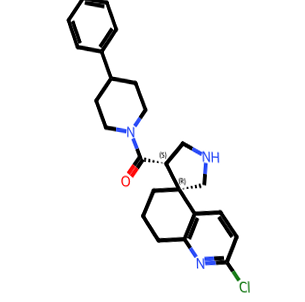 O=C([C@@H]1CNC[C@]12CCCc1nc(Cl)ccc12)N1CCC(c2ccccc2)CC1